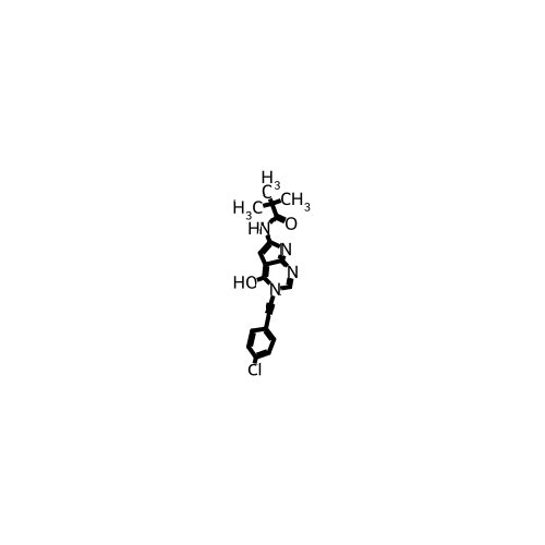 CC(C)(C)C(=O)Nc1cc2c(O)n(C#Cc3ccc(Cl)cc3)cnc-2n1